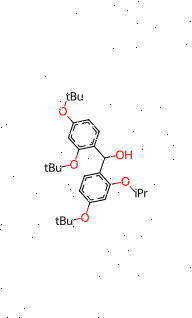 CC(C)Oc1cc(OC(C)(C)C)ccc1C(O)c1ccc(OC(C)(C)C)cc1OC(C)(C)C